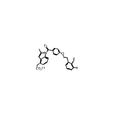 Cc1cc2c(CC(=O)O)cccc2n1C(=O)c1ccc(OCCc2cccc(F)c2F)cc1